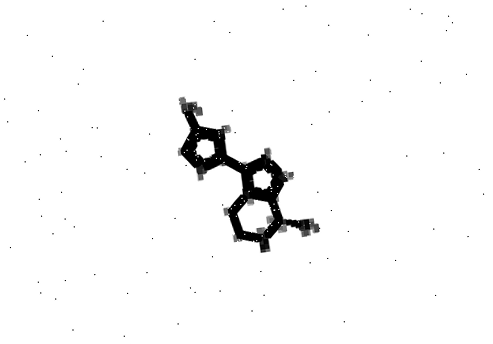 Cc1coc(-c2nnc3n2CCN[C@H]3C)n1